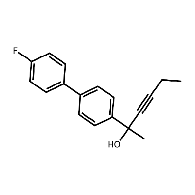 CCC#CC(C)(O)c1ccc(-c2ccc(F)cc2)cc1